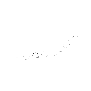 CCCCCC1CCC(c2ccc(C3CCC(C4CCC(C(F)(F)Oc5ccc(CCC=C(F)F)c(F)c5)CC4)CC3)c(F)c2)CC1